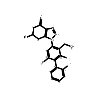 CC(C)C1CC(=O)c2nnn(-c3cc(F)c(-c4ccccc4F)c(F)c3CO)c2C1